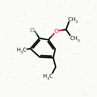 CCc1cc(C)c(Cl)c(OC(C)C)c1